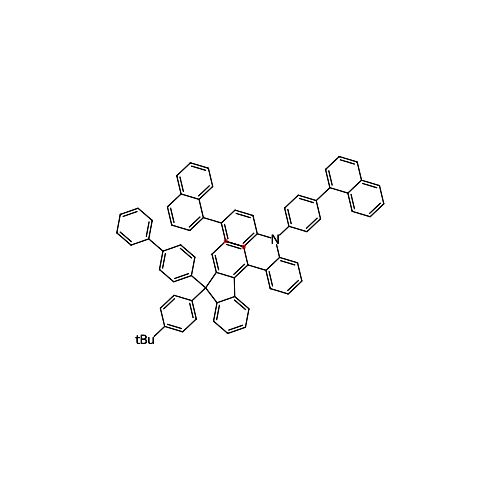 CC(C)(C)c1ccc(C2(c3ccc(-c4ccccc4)cc3)c3ccccc3-c3c(-c4ccccc4N(c4ccc(-c5cccc6ccccc56)cc4)c4ccc(-c5cccc6ccccc56)cc4)cccc32)cc1